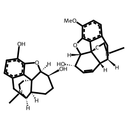 CN1CC[C@]23c4c5ccc(O)c4O[C@H]2[C@@H](O)CC[C@H]3[C@H]1C5.COc1ccc2c3c1O[C@H]1[C@@H](O)C=C[C@H]4[C@@H](C2)N(C)CC[C@@]341